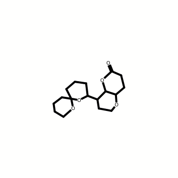 O=C1CCC2OCCC(C3CCCC4(CCCCO4)O3)C2O1